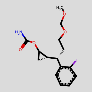 COCOCC[C@H](c1ccccc1I)[C@@H]1CC1OC(N)=O